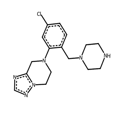 Clc1ccc(CN2CCNCC2)c(N2CCn3ncnc3C2)c1